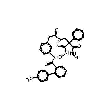 CCNC(=O)C(COC(=O)Cc1cccc(NC(=O)c2ccccc2-c2ccc(C(F)(F)F)cc2)c1)(C(=O)NCC)c1ccccc1